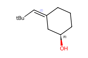 CC(C)(C)/C=C1/CCC[C@@H](O)C1